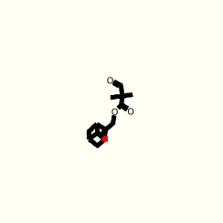 CC(C)(C=O)C(=O)OCC1=CCC2CC1C2(C)C